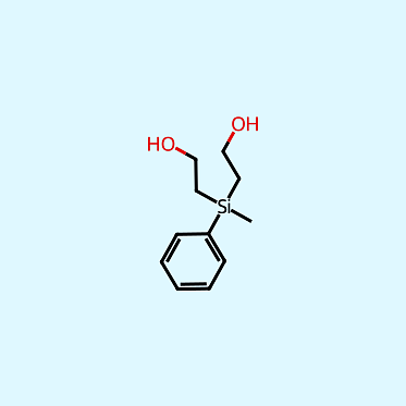 C[Si](CCO)(CCO)c1ccccc1